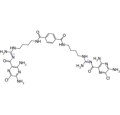 N/C(=N\C(=O)c1nc(Cl)c(N)nc1N)NCCCCNC(=O)c1ccc(C(=O)NCCCCN/C(N)=N/C(=O)c2nc(Cl)c(N)nc2N)cc1